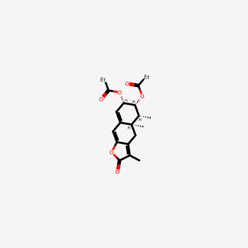 CCC(=O)O[C@H]1[C@@H](OC(=O)CC)C=C2C=C3OC(=O)C(C)=C3C[C@]2(C)[C@H]1C